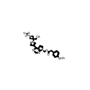 CCS(=O)(=O)N1CC(CC#N)(n2cc(-c3ncnc4c3ccn4COC(=O)Cc3ccc(NC(C)=O)cc3)cn2)C1